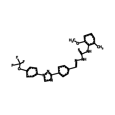 COc1cccc(C)c1NC(=S)N/N=C/c1ccc(-c2ncn(-c3ccc(OC(F)(F)F)cc3)n2)cc1